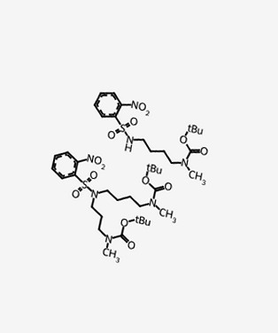 CN(CCCCN(CCCN(C)C(=O)OC(C)(C)C)S(=O)(=O)c1ccccc1[N+](=O)[O-])C(=O)OC(C)(C)C.CN(CCCCNS(=O)(=O)c1ccccc1[N+](=O)[O-])C(=O)OC(C)(C)C